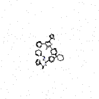 C=C(/N=C(\N=C\C1=CCCC=C1)c1ccc(C2(c3ccc(C4=NC(c5cccs5)=CC(c5ccccc5)N4C)cc3)CCCCC2)cc1)c1cccs1